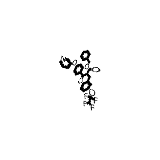 O=C(OCc1ccccc1)C(Cc1cccc(OC(F)(F)C(F)F)c1)C(=O)c1ccc(Oc2cccnc2)cc1